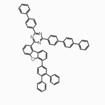 c1ccc(-c2ccc(-c3ccc(-c4nc(-c5ccc(-c6ccccc6)cc5)nc(-c5cccc6oc7c(-c8ccc(-c9ccccc9)c(-c9ccccc9)c8)cccc7c56)n4)cc3)cc2)cc1